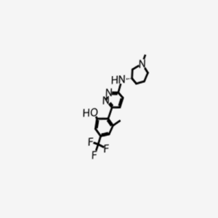 Cc1cc(C(F)(F)F)cc(O)c1-c1ccc(N[C@H]2CCCN(C)C2)nn1